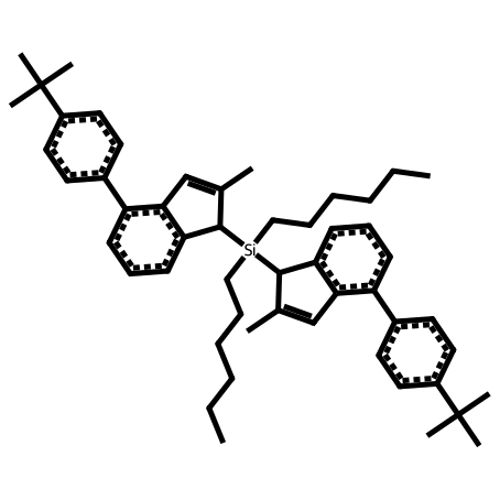 CCCCCC[Si](CCCCCC)(C1C(C)=Cc2c(-c3ccc(C(C)(C)C)cc3)cccc21)C1C(C)=Cc2c(-c3ccc(C(C)(C)C)cc3)cccc21